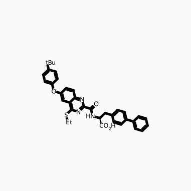 CCSc1nc(C(=O)N[C@@H](Cc2ccc(-c3ccccc3)cc2)C(=O)O)nc2ccc(Oc3ccc(C(C)(C)C)cc3)cc12